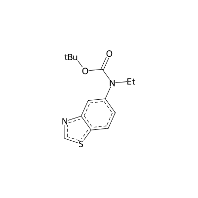 CCN(C(=O)OC(C)(C)C)c1ccc2scnc2c1